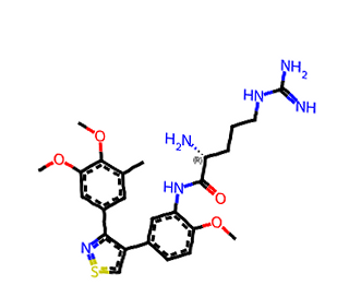 COc1ccc(-c2csnc2-c2cc(C)c(OC)c(OC)c2)cc1NC(=O)[C@H](N)CCCNC(=N)N